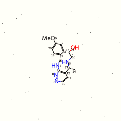 COc1ccc(CNc2nnccc2C(C)NCCO)cc1